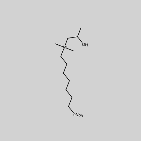 CCCCCCCCCCCCCCCC[N+](C)(C)CC(C)O